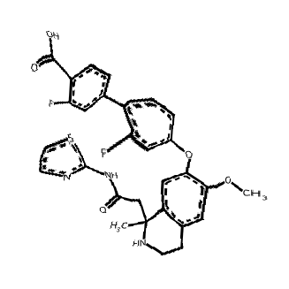 COc1cc2c(cc1Oc1ccc(-c3ccc(C(=O)O)c(F)c3)c(F)c1)C(C)(CC(=O)Nc1nccs1)NCC2